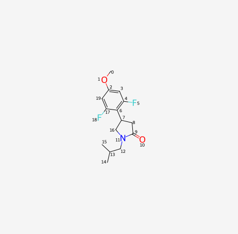 COc1cc(F)c(C2CC(=O)N(CC(C)C)C2)c(F)c1